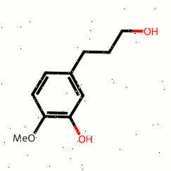 COc1ccc(CCCO)cc1O